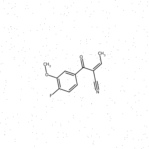 C/C=C(/C#N)C(=O)c1ccc(F)c(OC)c1